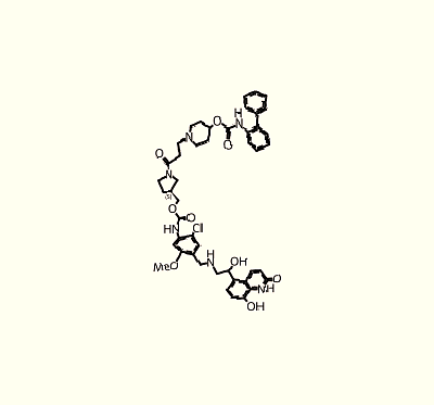 COc1cc(NC(=O)OC[C@H]2CCN(C(=O)CCN3CCC(OC(=O)Nc4ccccc4-c4ccccc4)CC3)C2)c(Cl)cc1CNCC(O)c1ccc(O)c2[nH]c(=O)ccc12